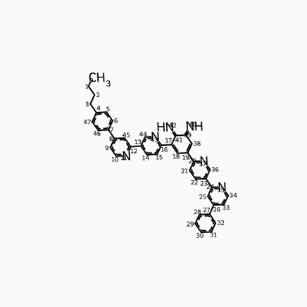 CCCCc1ccc(-c2ccnc(-c3ccc(C4=CC(c5ccc(-c6cc(-c7ccccc7)ccn6)cn5)=CC(=N)C4=N)nc3)c2)cc1